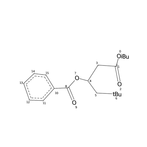 CC(C)COC(=O)CC(CC(C)(C)C)OC(=O)c1ccccc1